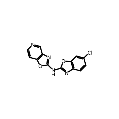 Clc1ccc2nc(Nc3nc4cnccc4o3)oc2c1